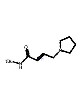 CC(C)(C)NC(=O)/C=C/CN1CCCC1